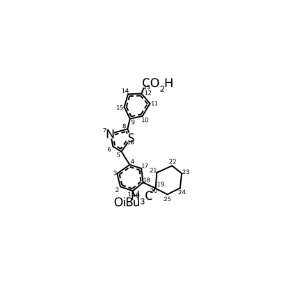 CC(C)COc1ccc(-c2cnc(-c3ccc(C(=O)O)cc3)s2)cc1C1(C)CCCCC1